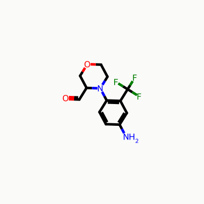 Nc1ccc(N2CCOCC2C=O)c(C(F)(F)F)c1